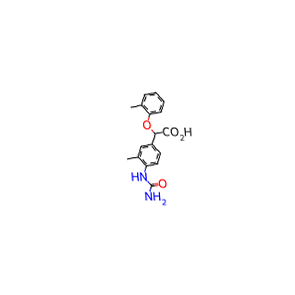 Cc1cc(C(Oc2ccccc2C)C(=O)O)ccc1NC(N)=O